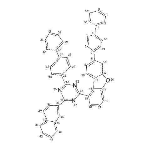 c1ccc(-c2ccc(-c3ccc4c(c3)oc3cccc(-c5nc(-c6ccc(-c7ccccc7)cc6)nc(-c6ccc7ccccc7c6)n5)c34)cc2)cc1